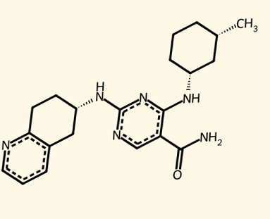 C[C@H]1CCC[C@@H](Nc2nc(N[C@H]3CCc4ncccc4C3)ncc2C(N)=O)C1